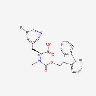 CN(C(=O)OCC1c2ccccc2-c2ccccc21)[C@@H](Cc1cncc(F)c1)C(=O)O